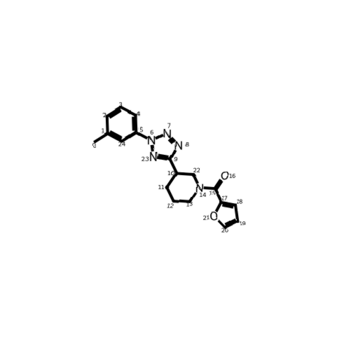 Cc1cccc(-n2nnc(C3CCCN(C(=O)c4ccco4)C3)n2)c1